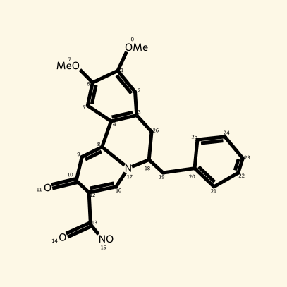 COc1cc2c(cc1OC)-c1cc(=O)c(C(=O)N=O)cn1C(Cc1ccccc1)C2